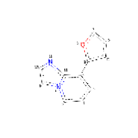 c1coc(-c2cccn3ccnc23)c1